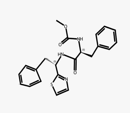 COC(=O)N[C@@H](Cc1ccccc1)C(=O)N[C@@H](Cc1cc[c]cc1)c1nccs1